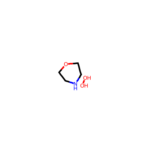 C1COCCN1.OO